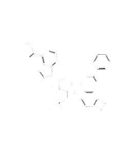 COC(=O)c1ncnc2c1ccn2[C@@H]1O[C@H](C(OC(=O)c2ccccc2)c2ccc3c(c2)CC3)[C@H]2OC(C)(C)O[C@H]21